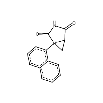 O=C1NC(=O)[N+]2(c3cccc4ccccc34)CC12